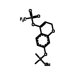 CC(C)(C)[Si](C)(C)Oc1ccc2c(c1)OCC=C2OS(=O)(=O)C(F)(F)F